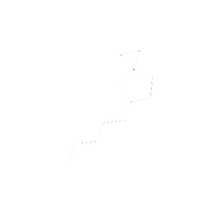 [O]OCCOC1CCC2(CC2)O1